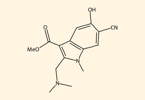 COC(=O)c1c(CN(C)C)n(C)c2cc(C#N)c(O)cc12